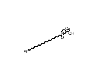 CC/C=C/C/C=C/C/C=C/C/C=C/C/C=C/C/C=C/CCC(=O)N1CCC2ON=C(O)C2C1